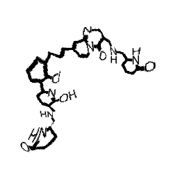 O=C1CCCC(CNCC2CN=C3C=C(/C=C/Cc4cccc(C5CC=C(CNC[C@@H]6CCC(=O)N6)C(O)=N5)c4Cl)C=CN3C2=O)N1